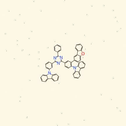 c1ccc(-c2nc(-c3cccc(-n4c5ccccc5c5ccccc54)c3)nc(-c3ccc(-n4c5ccccc5c5ccccc54)c(-c4ccc5oc6ccccc6c5c4)c3)n2)cc1